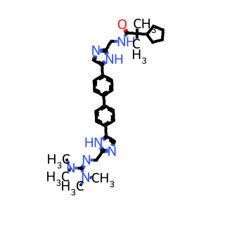 CN(C)C(=NCc1ncc(-c2ccc(-c3ccc(-c4cnc(CNC(=O)C(C)(C)C5CCCC5)[nH]4)cc3)cc2)[nH]1)N(C)C